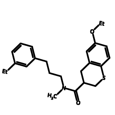 CCOc1ccc2c(c1)CC(C(=O)N(C)CCCc1cccc(CC)c1)CS2